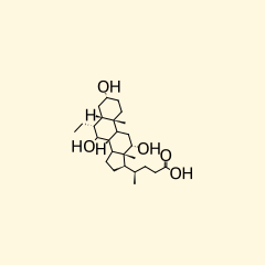 CC[C@H]1C(O)[C@H]2C3CC[C@H]([C@H](C)CCC(=O)O)[C@@]3(C)[C@@H](O)CC2[C@@]2(C)CC[C@@H](O)C[C@@H]12